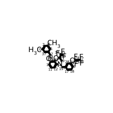 Cc1cc(C)cc(COc2cccc(N(Cc3cccc(OC(F)(F)C(F)F)c3)CC(O)C(F)(F)F)c2)c1